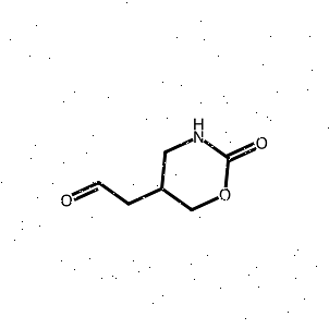 O=CCC1CNC(=O)OC1